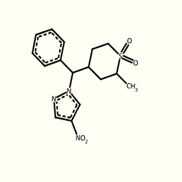 CC1CC(C(c2ccccc2)n2cc([N+](=O)[O-])cn2)CCS1(=O)=O